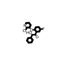 O=C(c1cc(F)ccc1Oc1cccnc1Cl)C(O)c1ccccc1